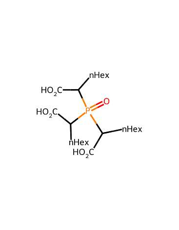 CCCCCCC(C(=O)O)P(=O)(C(CCCCCC)C(=O)O)C(CCCCCC)C(=O)O